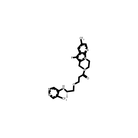 C[C@@H](COCCC(=O)N1CCn2c(c(F)c3cc(C(F)(F)F)cnc32)C1)Nc1cnncc1C(F)(F)F